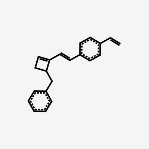 C=Cc1ccc(C=CC2=CCC2Cc2ccccc2)cc1